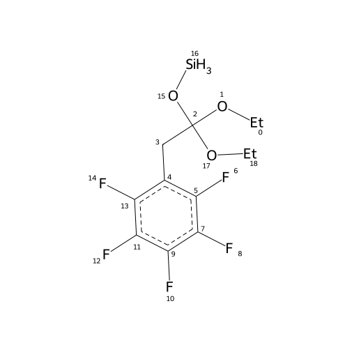 CCOC(Cc1c(F)c(F)c(F)c(F)c1F)(O[SiH3])OCC